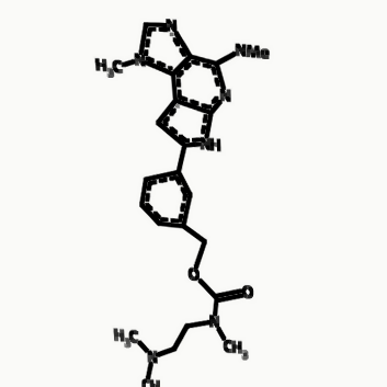 CNc1nc2[nH]c(-c3cccc(COC(=O)N(C)CCN(C)C)c3)cc2c2c1ncn2C